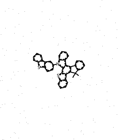 CC1(C)c2ccccc2-c2c1c1c3ccccc3sc1c1c2c2ccccc2n1-c1ccc2sc3ccccc3c2c1